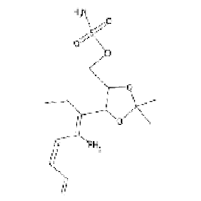 C=C/C=C\C(P)=C(/CC)C1OC(C)(C)OC1COS(N)(=O)=O